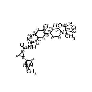 Cn1ncc([C@@H]2C[C@@H]2C(=O)Nc2cc3cc(C4CCN(C5(C)COCC5O)CC4)c(Cl)cc3cn2)n1